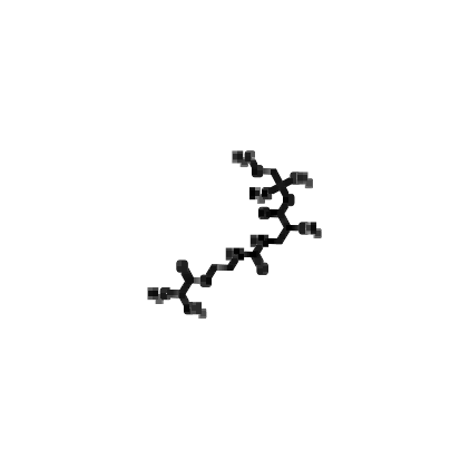 C=C(C)C(=O)OCCNC(=O)NCC(C)C(=O)OC(C)(C)COC